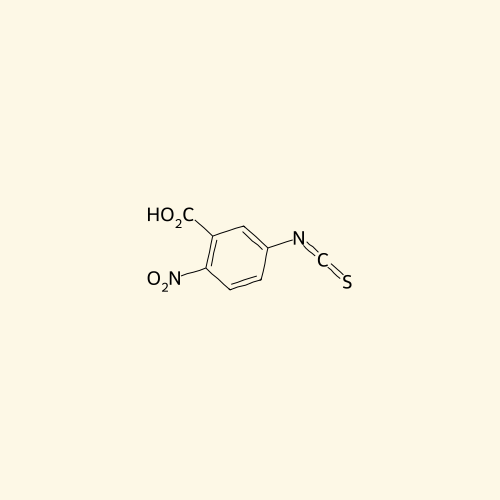 O=C(O)c1cc(N=C=S)ccc1[N+](=O)[O-]